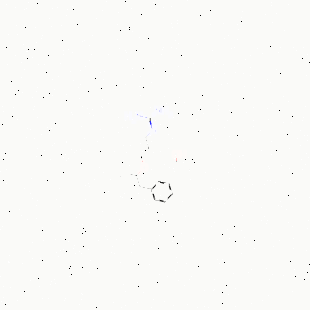 CC(Cc1ccccc1)OCCCN=C(N)N.O=S(=O)(O)O